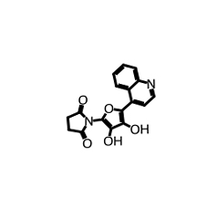 O=C1CCC(=O)N1c1oc(-c2ccnc3ccccc23)c(O)c1O